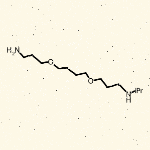 CC(C)NCCCOCCCCOCCCN